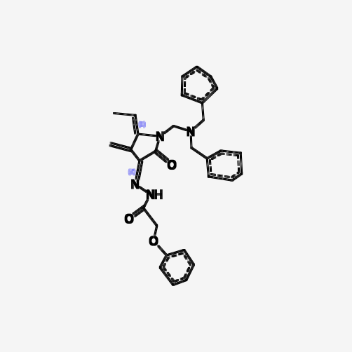 C=C1/C(=N/NC(=O)COc2ccccc2)C(=O)N(CN(Cc2ccccc2)Cc2ccccc2)/C1=C/C